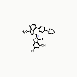 Cn1cc(/C=C2\Oc3cc(O)cc(O)c3C2=O)c2c(-c3ccc(N4CCOCC4)cc3)ccnc21